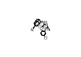 CC(C)(Oc1ccc(Cl)cc1F)/C(=N\C#N)NC1C2CC3CC1CC(C#N)(C3)C2